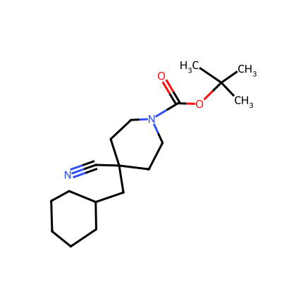 CC(C)(C)OC(=O)N1CCC(C#N)(CC2CCCCC2)CC1